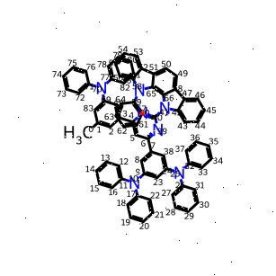 Cc1cc(-c2cc(-c3cc(N(c4ccccc4)c4ccccc4)cc(N(c4ccccc4)c4ccccc4)c3)nc(-n3c4ccccc4c4ccc5c6ccccc6n(-c6ccccc6)c5c43)n2)cc(N(c2ccccc2)c2ccccc2)c1